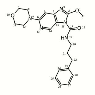 COc1nc2cc(N3CCOCC3)ncc2n1C(=O)NCCCc1ccccc1